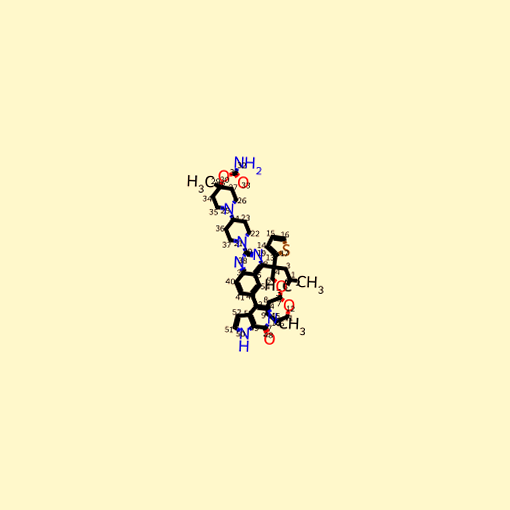 CC(C)CC(COC1CCCCO1)(c1cccs1)c1nc(N2CCC(N3CCC(C)(OC(N)=O)CC3)CC2)nc2ccc(-c3cn(C)c(=O)c4[nH]ccc34)cc12